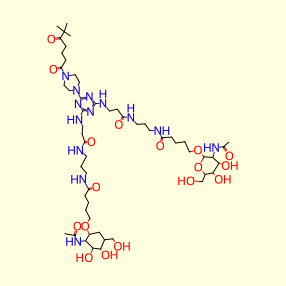 CC(=O)NC1C(OCCCCC(=O)NCCCNC(=O)CCNc2nc(NCCC(=O)NCCCNC(=O)CCCCOC3OC(CO)C(O)C(O)C3NC(C)=O)nc(N3CCN(C(=O)CCCC(=O)C(C)(C)C)CC3)n2)CC(CO)C(O)C1O